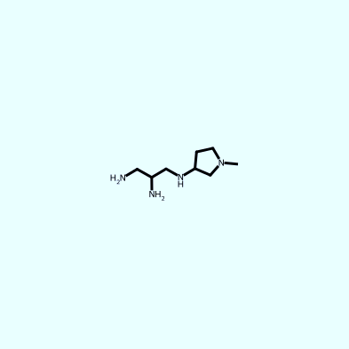 CN1CCC(NCC(N)CN)C1